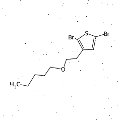 CCCCCOCCc1cc(Br)sc1Br